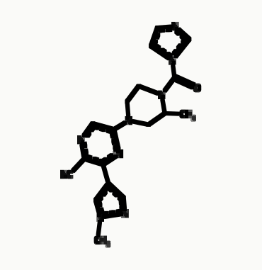 CC1CN(c2cnc(C#N)c(-c3cnn(C)c3)n2)CCN1C(=O)n1ccnc1